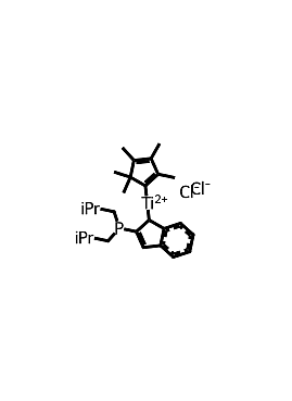 CC1=C(C)C(C)(C)[C]([Ti+2][CH]2C(P(CC(C)C)CC(C)C)=Cc3ccccc32)=C1C.[Cl-].[Cl-]